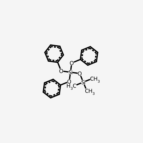 C[Si](C)(C)O[Si](Oc1ccccc1)(Oc1ccccc1)Oc1ccccc1